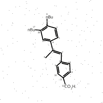 CCCCc1ccc(C(C)=Cc2ccc(C(=O)O)cc2)cc1CCCC